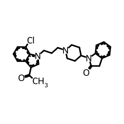 CC(=O)c1cn(CCCN2CCC(N3C(=O)Cc4ccccc43)CC2)c2c(Cl)cccc12